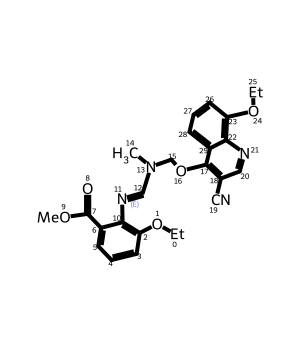 CCOc1cccc(C(=O)OC)c1/N=C/N(C)COc1c(C#N)cnc2c(OCC)cccc12